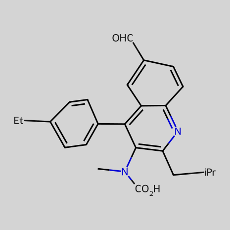 CCc1ccc(-c2c(N(C)C(=O)O)c(CC(C)C)nc3ccc(C=O)cc23)cc1